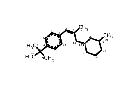 CC(=Cc1ccc(C(C)(C)C)cc1)CN1CCCC(C)C1